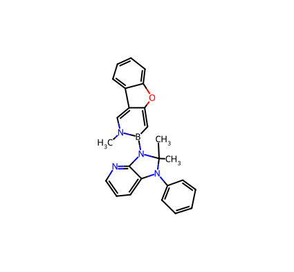 CN1C=c2c(oc3ccccc23)=CB1N1c2ncccc2N(c2ccccc2)C1(C)C